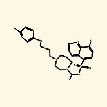 Cc1ccc(OCCCN2CCCN(C(C)NS(=O)(=O)c3ccc(Cl)c4ncccc34)CC2)cc1